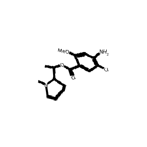 COc1cc(N)c(Cl)cc1C(=O)OC(C)C1CCCCN1C